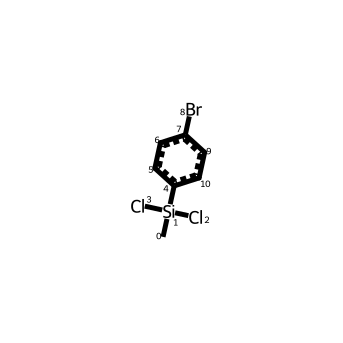 C[Si](Cl)(Cl)c1ccc(Br)cc1